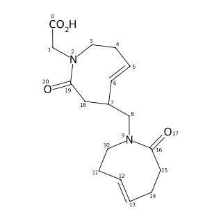 O=C(O)CN1CC/C=C/C(CN2CC/C=C/CCC2=O)CC1=O